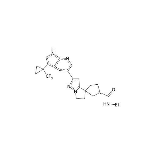 CCNC(=O)N1CCC2(CCn3nc(-c4cnc5[nH]cc(C6(C(F)(F)F)CC6)c5c4)cc32)C1